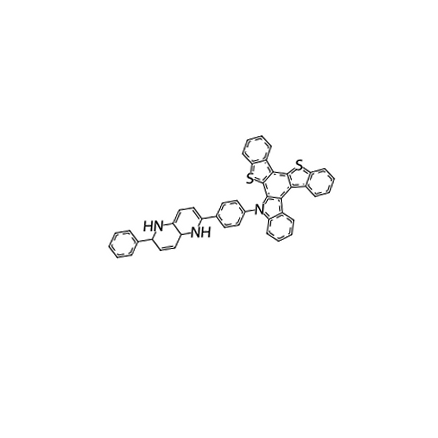 C1=CC(c2ccccc2)NC2=CC=C(c3ccc(-n4c5ccccc5c5c6c7ccccc7sc6c6c7ccccc7sc6c54)cc3)NC12